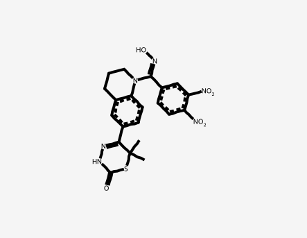 CC1(C)SC(=O)NN=C1c1ccc2c(c1)CCCN2/C(=N\O)c1ccc([N+](=O)[O-])c([N+](=O)[O-])c1